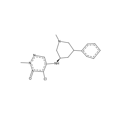 CN1CC(c2ccccc2)C[C@@H](Nc2cnn(C)c(=O)c2Cl)C1